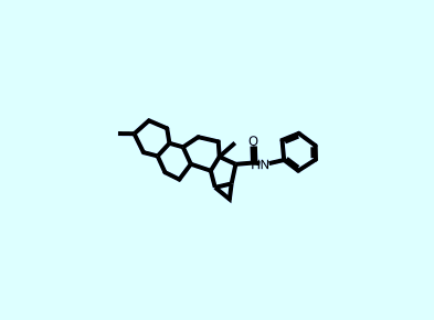 CC1CCC2C(CCC3C2CCC2(C)C(C(=O)Nc4ccccc4)C4CC4C32)C1